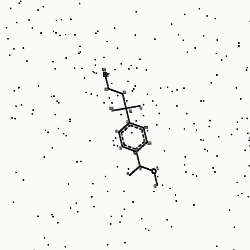 COC(C)c1ccc(C(C)(C)CCBr)cc1